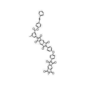 Cc1cc(C(=O)Oc2ccc(C#Cc3ccccc3)cc2)cc(-n2c(=O)c3cc4c(=O)n(-c5ccc(Oc6ccc(-n7c(=O)c8cc9c(=O)n(C)c(=O)c9cc8c7=O)cc6)cc5)c(=O)c4cc3c2=O)c1